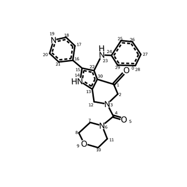 O=C1CN(C(=O)N2CCOCC2)Cc2[nH]c(-c3ccncc3)c(Nc3ccccc3)c21